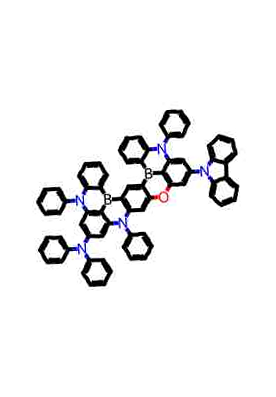 c1ccc(N(c2ccccc2)c2cc3c4c(c2)N(c2ccccc2)c2cc5c(cc2B4c2ccccc2N3c2ccccc2)B2c3ccccc3N(c3ccccc3)c3cc(-n4c6ccccc6c6ccccc64)cc(c32)O5)cc1